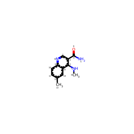 CNc1c(C(N)=O)cnc2ccc(C)cc12